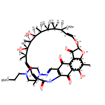 COCCN1CCN(/N=C/C2=C3NC(=O)/C(C)=C\C=C\[C@H](C)[C@H](O)[C@@H](C)[C@@H](O)[C@@H](C)[C@H](OC(C)=O)[C@H](C)[C@@H](OC)/C=C/O[C@@]4(C)Oc5c(C)c(O)c(c(c5C4=O)C2=O)C3=O)CC1